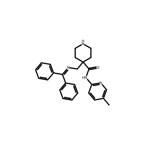 Cc1ccc(NC(=O)C2(CN=C(c3ccccc3)c3ccccc3)CCNCC2)nc1